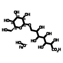 O=C(O)C(O)C(O)C(O)C(O)C(O)CO[C@H]1O[C@H](CO)[C@@H](O)[C@H](O)[C@H]1O.[Fe].[O-]O